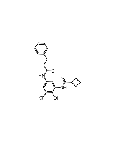 O=C(CCc1ccccc1)Nc1cc(Cl)c(O)c(NC(=O)C2CCC2)c1